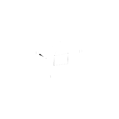 [CH][C@@H]1CC[C@H]2C[C@@H]1C2(C)C